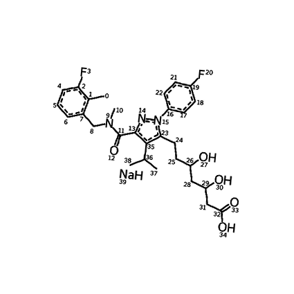 Cc1c(F)cccc1CN(C)C(=O)c1nn(-c2ccc(F)cc2)c(CCC(O)CC(O)CC(=O)O)c1C(C)C.[NaH]